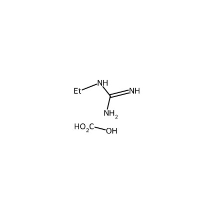 CCNC(=N)N.O=C(O)O